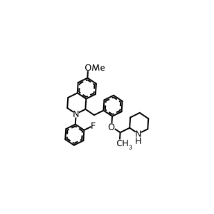 COc1ccc2c(c1)CCN(c1ccccc1F)C2Cc1ccccc1OC(C)C1CCCCN1